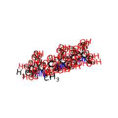 CC(=O)N[C@H]1[C@@H](O[C@H]2[C@H](O)[C@@H](O)[C@H](O[C@H]3[C@H](OS(=O)(=O)O)[C@@H](NS(=O)(=O)O)[C@@H](O[C@H]4[C@H](O)[C@@H](OS(=O)(=O)O)C(O[C@H]5[C@H](O)[C@@H](NS(=O)(=O)O)C(O)O[C@@H]5COS(=O)(=O)O)O[C@H]4C(=O)O)O[C@@H]3COS(=O)(=O)O)O[C@@H]2C(=O)O)O[C@H](COS(=O)(=O)O)[C@@H](O[C@@H]2OC(C(=O)O)[C@@H](C)[C@H](O)[C@H]2O)[C@@H]1O